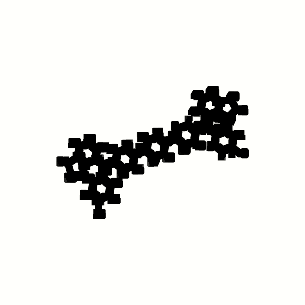 Cc1ccc(N(c2ccc(-c3ccc(-c4ccc(N(c5ccc(C)cc5)c5cccc6c5CCC6)cc4)cc3)cc2)c2cccc3c2CCC3)cc1